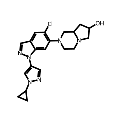 OC1CC2CN(c3cc4c(cnn4-c4cnn(C5CC5)c4)cc3Cl)CCN2C1